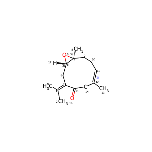 CC(C)=C1C[C@@H]2O[C@@]2(C)CC/C=C(/C)CC1=O